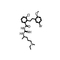 CCN(C)CCCC(C)NC(=N)NC(=O)c1cccc(Cl)c1CCc1cc(Br)ccc1OC